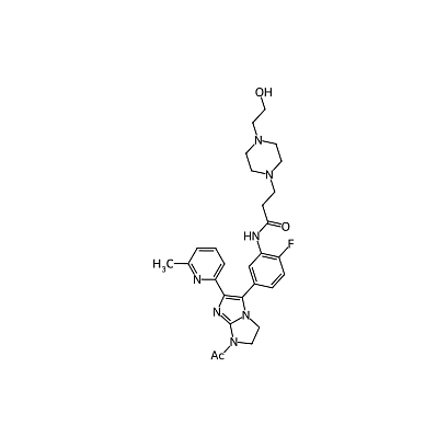 CC(=O)N1CCn2c1nc(-c1cccc(C)n1)c2-c1ccc(F)c(NC(=O)CCN2CCN(CCO)CC2)c1